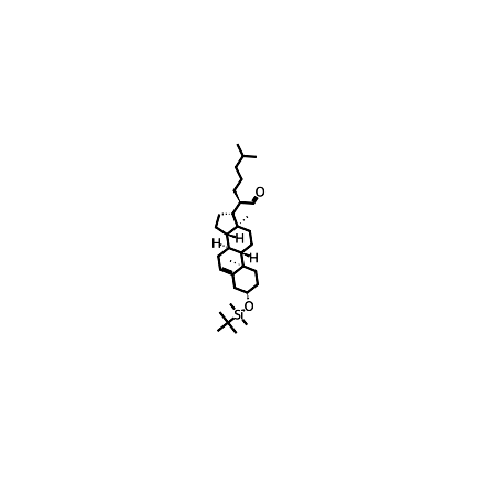 CC(C)CCC[C@@H](C=O)[C@H]1CC[C@H]2[C@@H]3CC=C4C[C@@H](O[Si](C)(C)C(C)(C)C)CC[C@]4(C)[C@H]3CC[C@]12C